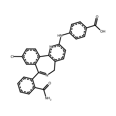 NC(=O)c1ccccc1C1=NCc2ccc(Nc3ccc(C(=O)O)cc3)nc2-c2ccc(Cl)cc21